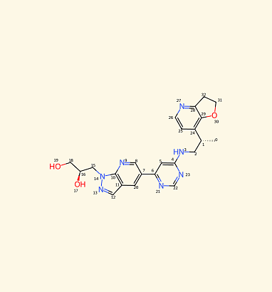 C[C@H](CNc1cc(-c2cnc3c(cnn3C[C@@H](O)CO)c2)ncn1)c1ccnc2c1OCC2